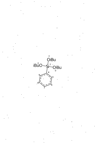 CC(C)CO[Si](OCC(C)C)(OCC(C)C)c1ccccc1